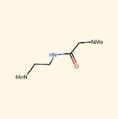 C[N]CCNC(=O)CNC